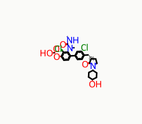 CNC(=O)N(C)c1c(-c2ccc(C[C@@H]3CCN([C@H]4CC[C@H](O)CC4)C3=O)c(Cl)c2)ccc(OC(=O)O)c1Cl